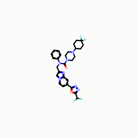 O=C(N1CCN(C2CCC(F)(F)CC2)CC1)N(Cc1cn2ccc(-c3nnc(C(F)F)o3)cc2n1)c1ccccc1